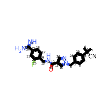 CC(C)(C#N)c1ccc(Cn2cc(C(=O)NCc3ccc(C(=N)N)cc3F)cn2)cc1